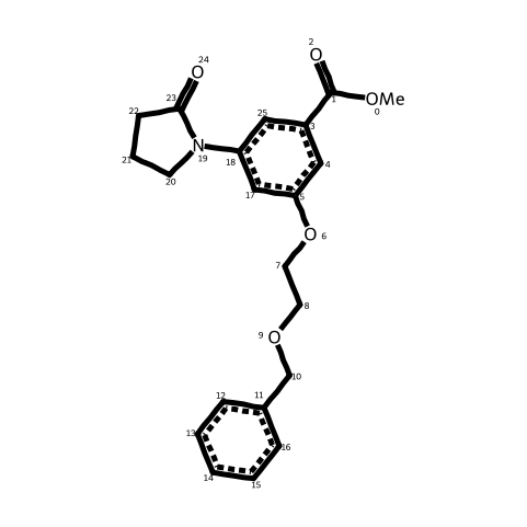 COC(=O)c1cc(OCCOCc2ccccc2)cc(N2CCCC2=O)c1